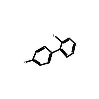 Fc1ccc(-c2c[c]ccc2F)cc1